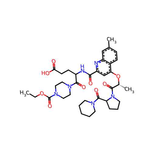 CCOC(=O)N1CCN(C(=O)C(CCC(=O)O)NC(=O)c2cc(O[C@H](C)C(=O)N3CCCC3C(=O)N3CCCCC3)c3ccc(C)cc3n2)CC1